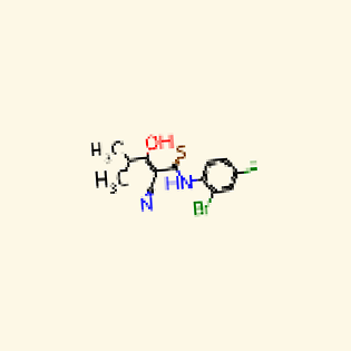 CC(C)/C(O)=C(\C#N)C(=S)Nc1ccc(F)cc1Br